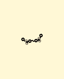 O=C(OCc1ccccc1)c1ccc(CCc2ccc(C(=O)OCc3ccccc3)cc2)cc1